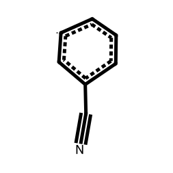 N#Cc1c[c]ccc1